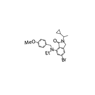 CCN(Cc1ccc(OC)cc1)c1cc(Br)cc2c1C(=O)N(C(C)C1CC1)C2